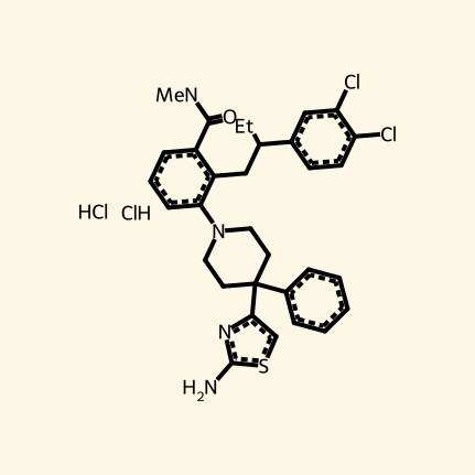 CCC(Cc1c(C(=O)NC)cccc1N1CCC(c2ccccc2)(c2csc(N)n2)CC1)c1ccc(Cl)c(Cl)c1.Cl.Cl